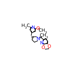 COc1cc(C[C@H]2CCCN([C@@H](C)c3ccc4c(n3)OCCO4)C2)cc(C)n1